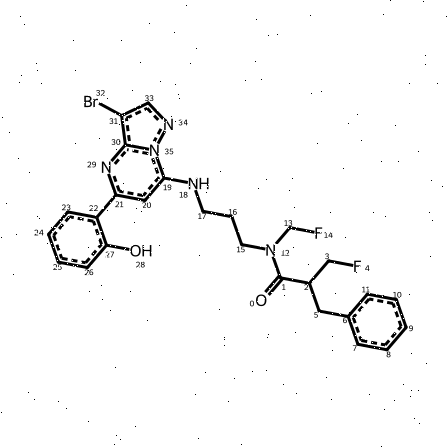 O=C(C(CF)Cc1ccccc1)N(CF)CCCNc1cc(-c2ccccc2O)nc2c(Br)cnn12